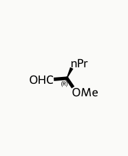 CCC[C@H](C=O)OC